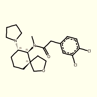 CN(C(=O)Cc1ccc(Cl)c(Cl)c1)[C@@H]1[C@@H](N2CCCC2)CCC[C@]12CCOC2